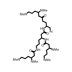 CNCCCC(CC(=O)CCC(CC(C)=O)NC(=O)CC(CCCNC(=O)CC(CCCNC)NC)NC(=O)CC(CCCNC)NC)NC